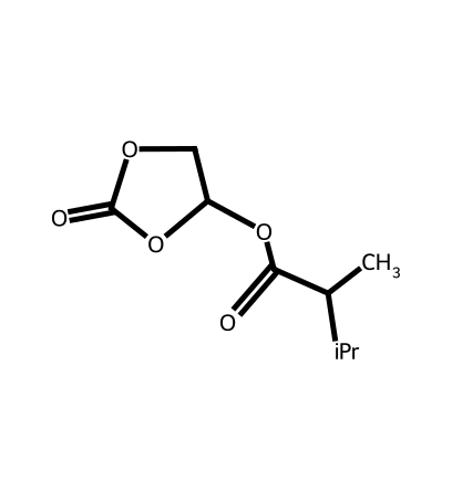 CC(C)C(C)C(=O)OC1COC(=O)O1